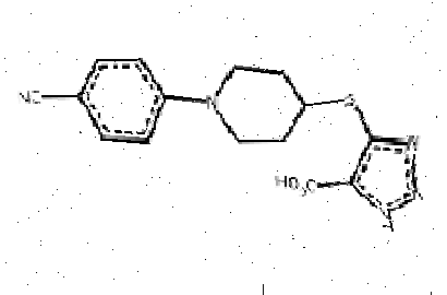 N#Cc1ccc(N2CCC(Sc3nn[nH]c3C(=O)O)CC2)cc1